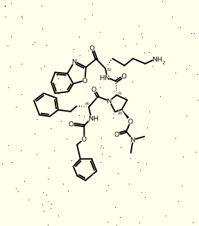 CN(C)C(=O)O[C@@H]1C[C@@H](C(=O)N[C@@H](CCCCN)C(=O)c2nc3ccccc3o2)N(C(=O)[C@@H](CCc2ccccc2)NC(=O)OCc2ccccc2)C1